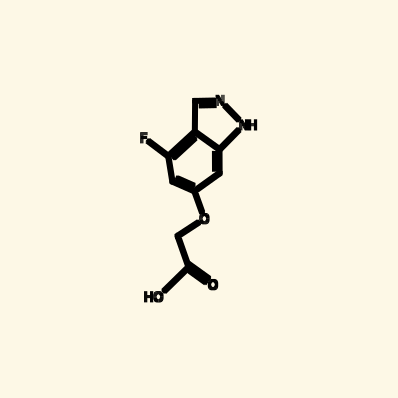 O=C(O)COc1cc(F)c2cn[nH]c2c1